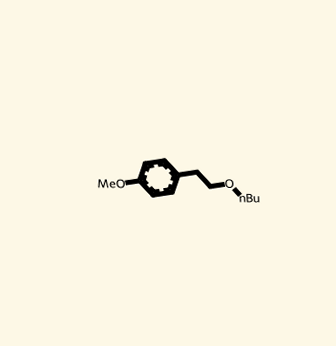 [CH2]CCCOCCc1ccc(OC)cc1